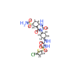 NS(=O)(=O)c1ccc2[nH]c(=O)n(-c3ccc(NC(=O)NS(=O)(=O)c4ccc(Cl)s4)cc3)c(=O)c2c1